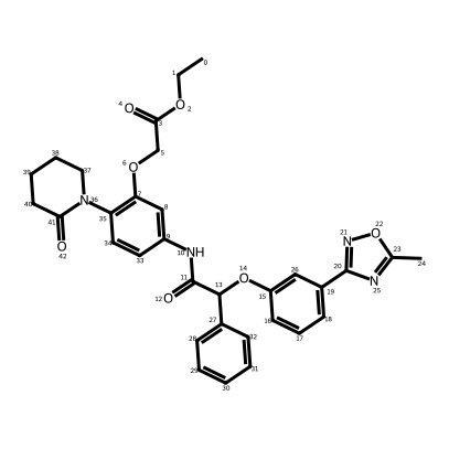 CCOC(=O)COc1cc(NC(=O)C(Oc2cccc(-c3noc(C)n3)c2)c2ccccc2)ccc1N1CCCCC1=O